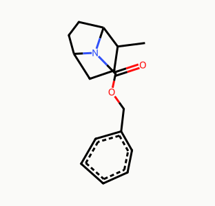 CC1CCC2CCC1N2C(=O)OCc1ccccc1